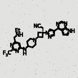 CCNCc1cc(NC2CCN([C@H]3C[C@@](CC#N)(n4cc(-c5ncnc6[nH]ccc56)cn4)C3)CC2)nc(C(F)(F)F)n1